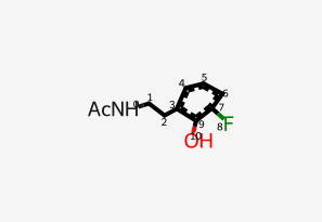 CC(=O)NCCc1cccc(F)c1O